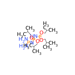 CC(C)COP(NP(=NP(N)N)(OCC(C)C)OCC(C)C)OCC(C)C